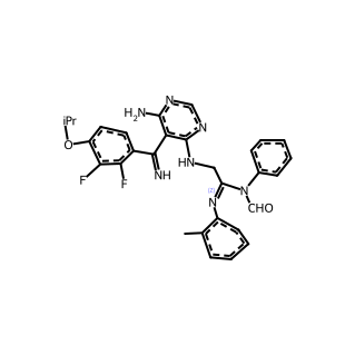 Cc1ccccc1/N=C(/CNc1ncnc(N)c1C(=N)c1ccc(OC(C)C)c(F)c1F)N(C=O)c1ccccc1